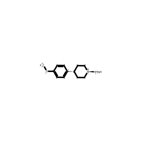 CCCCCCC[Si@H]1CC[C@H](c2ccc(OC(F)(F)F)cc2)CC1